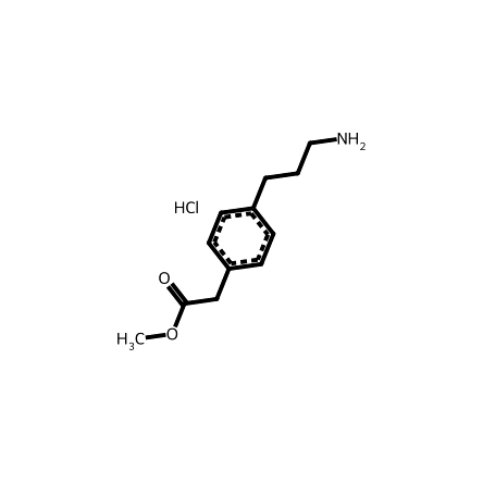 COC(=O)Cc1ccc(CCCN)cc1.Cl